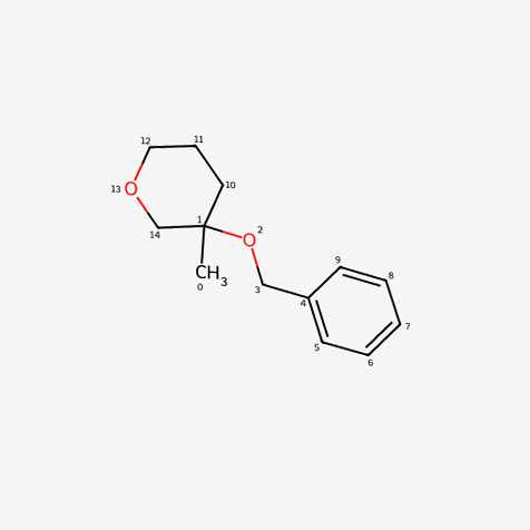 CC1(OCc2ccccc2)CCCOC1